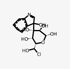 OC(Cl)[C@H]1O[C@@H](O)[C@H](O)[C@](O)(C2(O)C=Nc3ccccc32)[C@H]1O